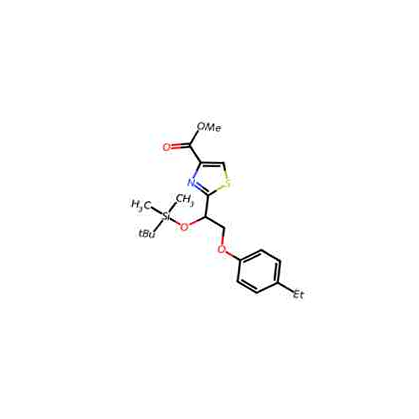 CCc1ccc(OCC(O[Si](C)(C)C(C)(C)C)c2nc(C(=O)OC)cs2)cc1